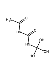 NC(=O)NC(=O)NC(O)(O)O